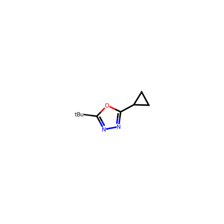 CC(C)(C)c1nnc(C2CC2)o1